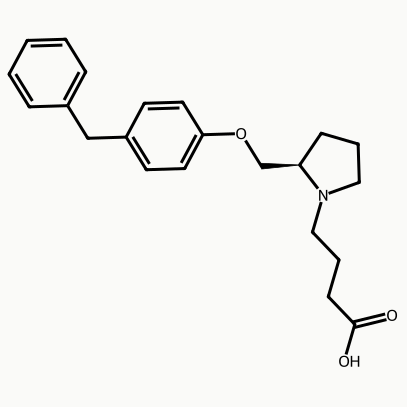 O=C(O)CCCN1CCC[C@@H]1COc1ccc(Cc2ccccc2)cc1